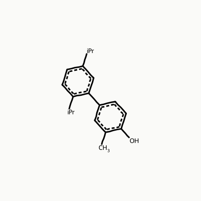 Cc1cc(-c2cc(C(C)C)ccc2C(C)C)ccc1O